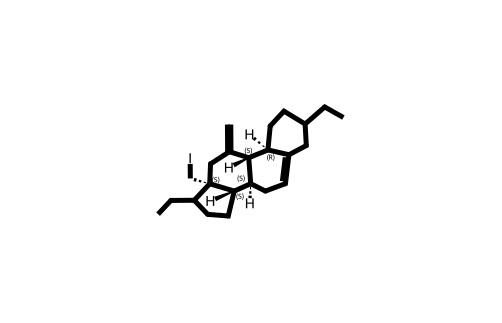 C=C1C[C@]2(CI)C(CC)CC[C@H]2[C@@H]2CC=C3CC(CC)CC[C@@H]3[C@@H]12